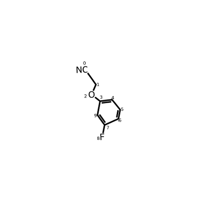 N#CCOc1cc[c]c(F)c1